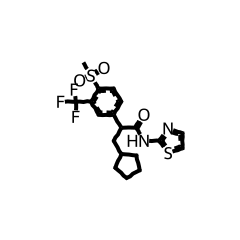 CS(=O)(=O)c1ccc(C(CC2CCCC2)C(=O)Nc2nccs2)cc1C(F)(F)F